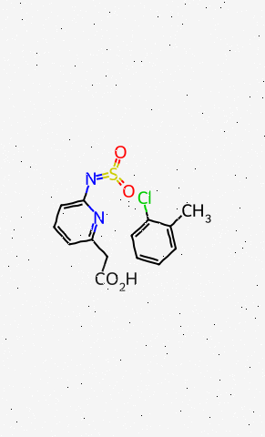 Cc1ccccc1Cl.O=C(O)Cc1cccc(N=S(=O)=O)n1